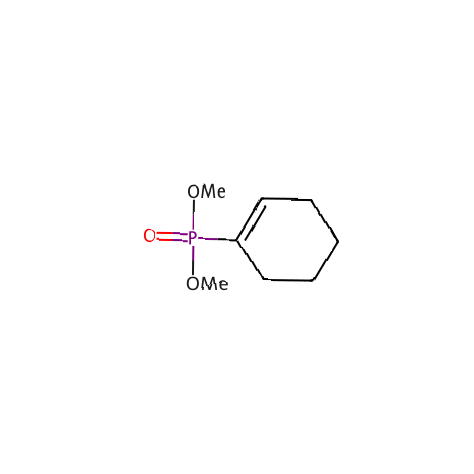 COP(=O)(OC)C1=CCCCC1